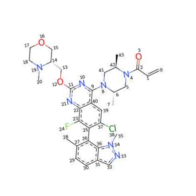 C=CC(=O)N1C[C@H](C)N(c2nc(OC[C@H]3COCCN3C)nc3c(F)c(-c4c(C)ccc5cnn(C)c45)c(Cl)cc23)C[C@H]1C